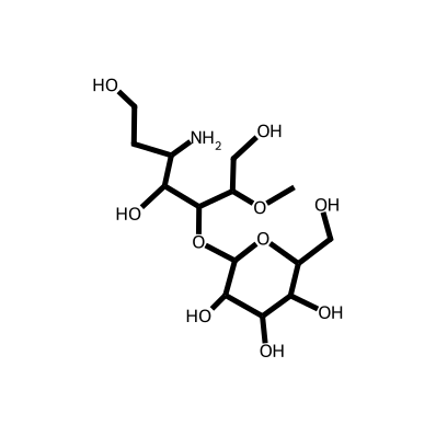 COC(CO)C(OC1OC(CO)C(O)C(O)C1O)C(O)C(N)CCO